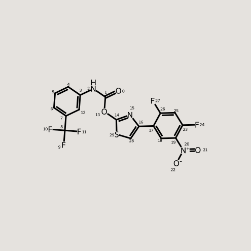 O=C(Nc1cccc(C(F)(F)F)c1)Oc1nc(-c2cc([N+](=O)[O-])c(F)cc2F)cs1